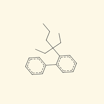 CCCC(CC)(CC)c1ccccc1-c1ccccc1